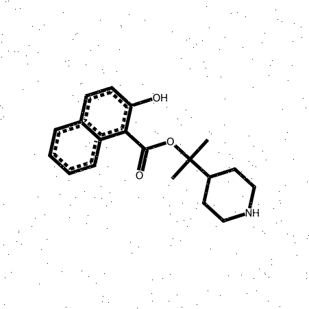 CC(C)(OC(=O)c1c(O)ccc2ccccc12)C1CCNCC1